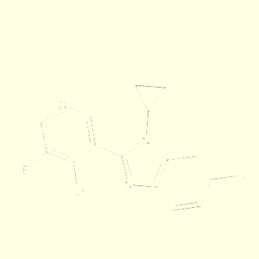 CCc1c(F)cncc1-c1nc2ccc(Cl)cc2n1C1CC1